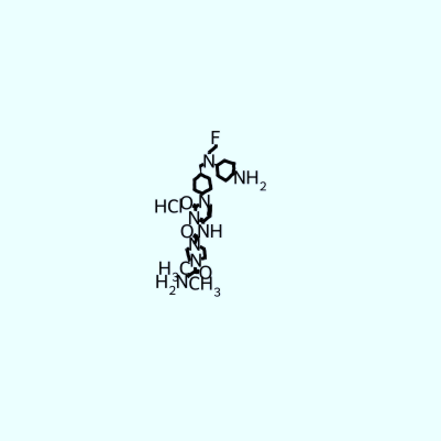 CC(C)(N)C(=O)N1CCN(C(=O)Nc2ccn([C@H]3CC[C@H](CN(CCF)[C@H]4CC[C@@H](N)CC4)CC3)c(=O)n2)CC1.Cl